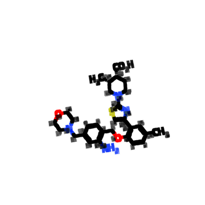 Cc1ccc(OCc2ccc(CN3CCOCC3)cc2N)c(-c2csc(N3CC[C@@H](C(=O)O)[C@@H](C)C3)n2)c1